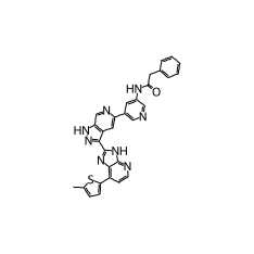 Cc1ccc(-c2ccnc3[nH]c(-c4n[nH]c5cnc(-c6cncc(NC(=O)Cc7ccccc7)c6)cc45)nc23)s1